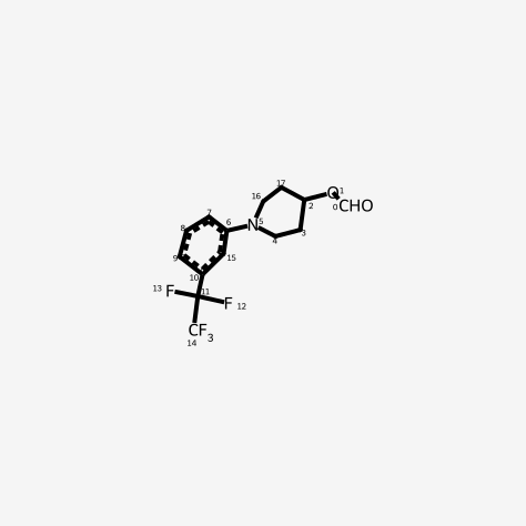 O=COC1CCN(c2cccc(C(F)(F)C(F)(F)F)c2)CC1